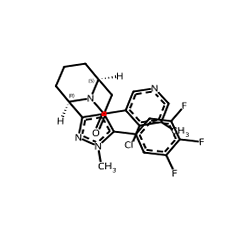 Cc1cncc(C(=O)N2[C@H]3CCC[C@@H]2c2nn(C)c(-c4cc(F)c(F)c(F)c4)c2C3)c1Cl